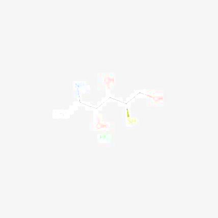 Cl.N[C@@H](C=O)[C@@H](O)[C@H](O)[C@H](S)CO